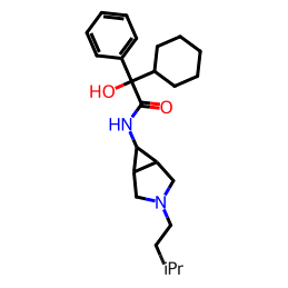 CC(C)CCN1CC2C(C1)C2NC(=O)C(O)(c1ccccc1)C1CCCCC1